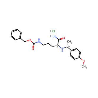 COc1ccc([C@@H](C)N[C@H](CCCNC(=O)OCc2ccccc2)C(N)=O)cc1.Cl